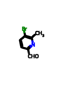 Cc1nc(C=O)ccc1Br